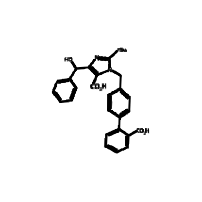 CCCCc1nc(C(O)c2ccccc2)c(C(=O)O)n1Cc1ccc(-c2ccccc2C(=O)O)cc1